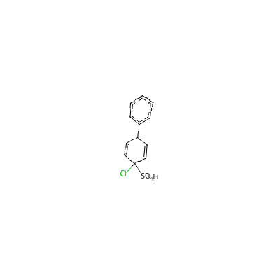 O=S(=O)(O)C1(Cl)C=CC(c2ccccc2)C=C1